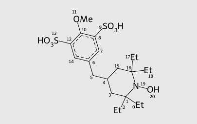 CCC1(CC)CC(Cc2cc(S(=O)(=O)O)c(OC)c(S(=O)(=O)O)c2)CC(CC)(CC)N1O